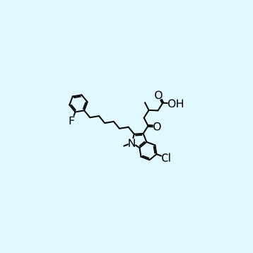 CC(CC(=O)O)CC(=O)c1c(CCCCCCc2ccccc2F)n(C)c2ccc(Cl)cc12